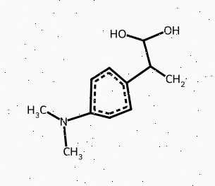 [CH2]C(c1ccc(N(C)C)cc1)C(O)O